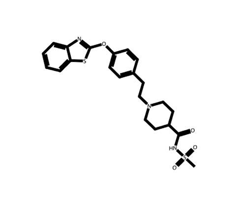 CS(=O)(=O)NC(=O)C1CCN(CCc2ccc(Oc3nc4ccccc4s3)cc2)CC1